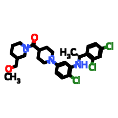 COCC1CCCN(C(=O)C2CCN(c3ccc(Cl)c(N[C@H](C)c4ccc(Cl)cc4Cl)c3)CC2)C1